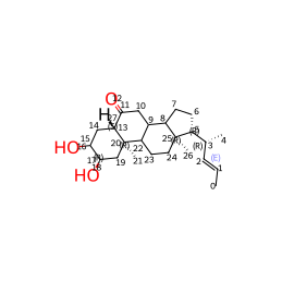 C/C=C/[C@@H](C)[C@H]1CCC2C3CC(=O)[C@H]4CC(O)[C@H](O)C[C@]4(C)C3CC[C@@]21C